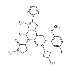 COc1ccc(F)cc1C(Cn1c(=O)n(C2CCN(C)C2=O)c(=O)c2c(C)c(-n3nccn3)sc21)OC1CC(O)C1